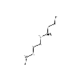 CCC[SiH2]OCCCOC